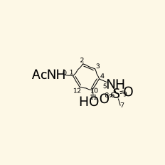 CC(=O)Nc1ccc(NS(C)(=O)=O)c(O)c1